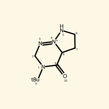 CC(C)(C)N1CN=[N+]2NCCC2C1=O